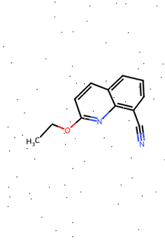 CCOc1ccc2cccc(C#N)c2n1